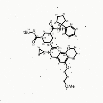 COCCCOc1cc(CN(C(=O)[C@@H]2C[C@H](C(=O)NC3(c4ccccc4)CCCC3)CN(C(=O)OC(C)(C)C)C2)C2CC2)cc2c1CCCO2